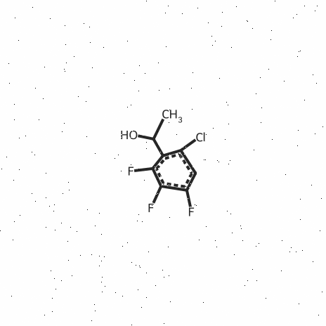 CC(O)c1c(Cl)cc(F)c(F)c1F